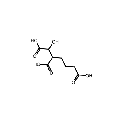 O=C(O)CCCC(C(=O)O)C(O)C(=O)O